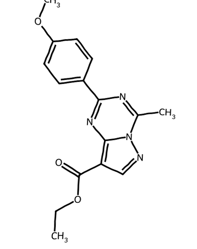 CCOC(=O)c1cnn2c(C)nc(-c3ccc(OC)cc3)nc12